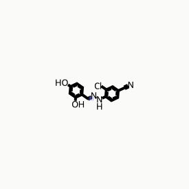 N#Cc1ccc(N/N=C/c2ccc(O)cc2O)c(Cl)c1